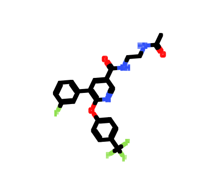 CC(=O)NCCNC(=O)c1cnc(Oc2ccc(C(F)(F)F)cc2)c(-c2cccc(F)c2)c1